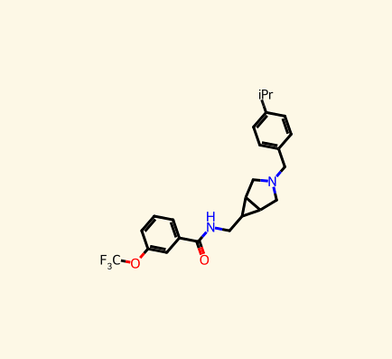 CC(C)c1ccc(CN2CC3C(CNC(=O)c4cccc(OC(F)(F)F)c4)C3C2)cc1